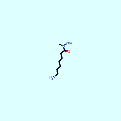 CCCCN(C)C(=O)CCCCCCN